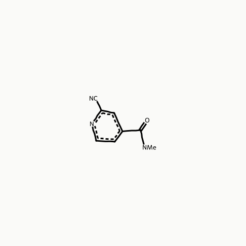 CNC(=O)c1ccnc(C#N)c1